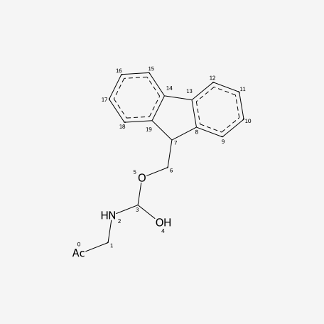 CC(=O)CNC(O)OCC1c2ccccc2-c2ccccc21